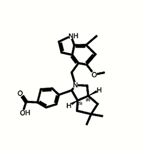 COc1cc(C)c2[nH]ccc2c1CN1C[C@@H]2CC(C)(C)C[C@@H]2C1c1ccc(C(=O)O)cc1